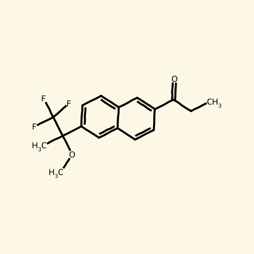 CCC(=O)c1ccc2cc(C(C)(OC)C(F)(F)F)ccc2c1